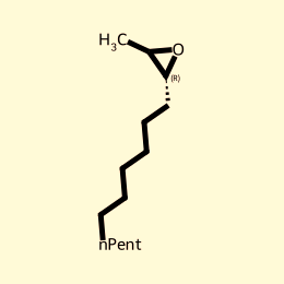 CCCCCCCCCCC[C@H]1OC1C